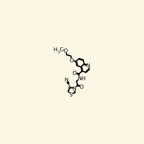 COCCOc1ccc2nccc(C(=O)NCC(=O)N3CSC[C@H]3C#N)c2c1